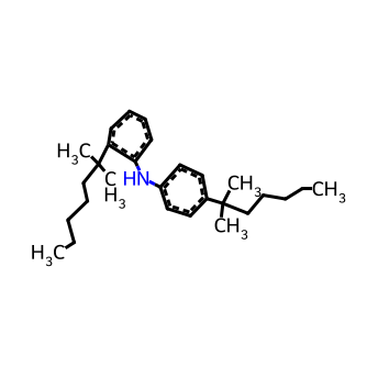 CCCCCC(C)(C)c1ccc(Nc2ccccc2C(C)(C)CCCCC)cc1